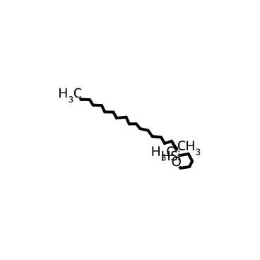 CCCCCCCCCCCCCCCCCC(C)(C)[SiH]1CCCCO1